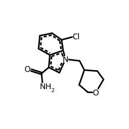 NC(=O)c1cn(CC2CCOCC2)c2c(Cl)cccc12